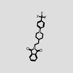 O=C1c2ccccc2C(=O)N1CCC1CCN(c2ccc(C(F)(F)F)cc2)CC1